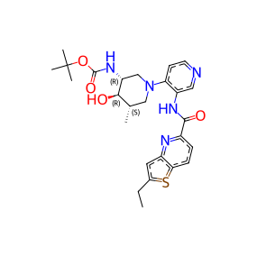 CCc1cc2nc(C(=O)Nc3cnccc3N3C[C@H](C)[C@@H](O)[C@H](NC(=O)OC(C)(C)C)C3)ccc2s1